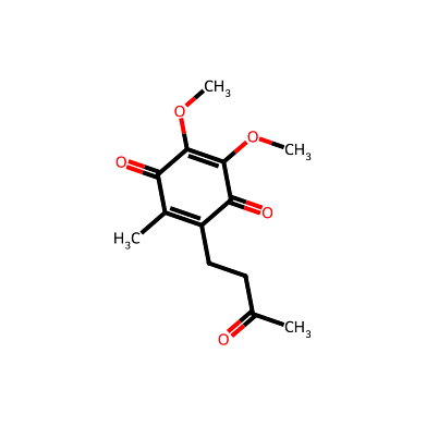 COC1=C(OC)C(=O)C(CCC(C)=O)=C(C)C1=O